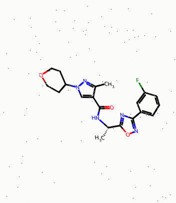 Cc1nn(C2CCOCC2)cc1C(=O)N[C@@H](C)c1nc(-c2cccc(F)c2)no1